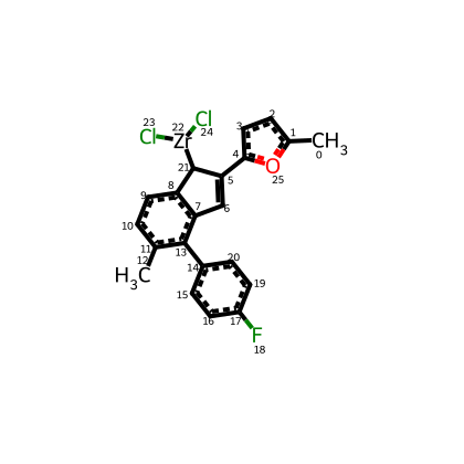 Cc1ccc(C2=Cc3c(ccc(C)c3-c3ccc(F)cc3)[CH]2[Zr]([Cl])[Cl])o1